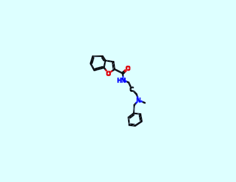 CN(CCCNC(=O)c1cc2ccccc2o1)Cc1ccccc1